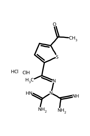 CC(=O)c1ccc(C(C)=NN(C(=N)N)C(=N)N)s1.Cl.Cl